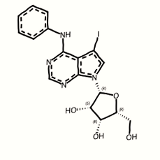 OC[C@H]1O[C@@H](n2cc(I)c3c(Nc4ccccc4)ncnc32)[C@@H](O)[C@H]1O